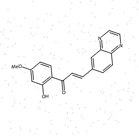 COc1ccc(C(=O)C=Cc2ccc3nccnc3c2)c(O)c1